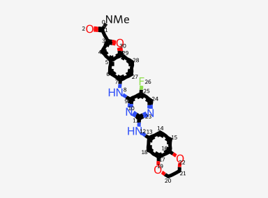 CNC(=O)c1cc2cc(Nc3nc(Nc4ccc5c(c4)OCCO5)ncc3F)ccc2o1